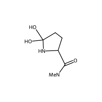 CNC(=O)C1CCC(O)(O)N1